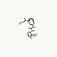 CCCC(C)c1cccc(NC(=O)Nc2cccnc2O)c1